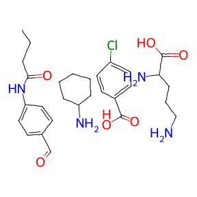 CCCC(=O)Nc1ccc(C=O)cc1.NC1CCCCC1.NCCCC(N)C(=O)O.O=C(O)c1ccc(Cl)cc1